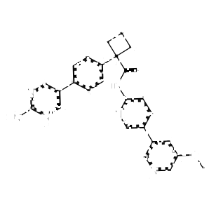 COc1cncc(-c2ccc(NC(=O)C3(c4ccc(-c5cnc(N)nc5)cc4)CCC3)nc2)c1